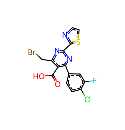 O=C(O)c1c(CBr)nc(-c2nccs2)nc1-c1ccc(Cl)c(F)c1